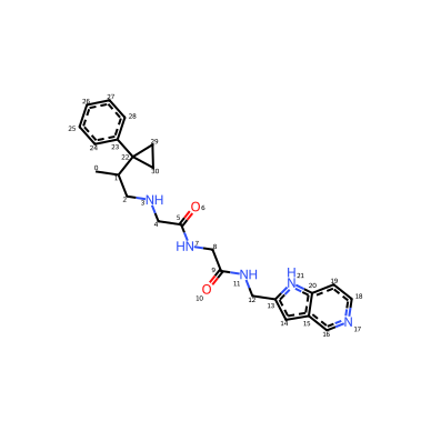 CC(CNCC(=O)NCC(=O)NCc1cc2cnccc2[nH]1)C1(c2ccccc2)CC1